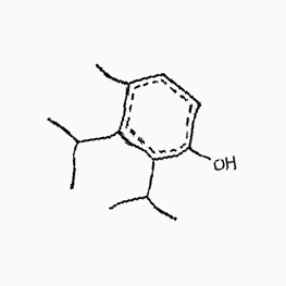 Cc1ccc(O)c(C(C)C)c1C(C)C